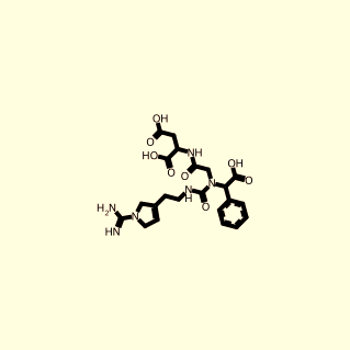 N=C(N)N1CC=C(CCNC(=O)N(CC(=O)NC(CC(=O)O)C(=O)O)C(C(=O)O)c2ccccc2)C1